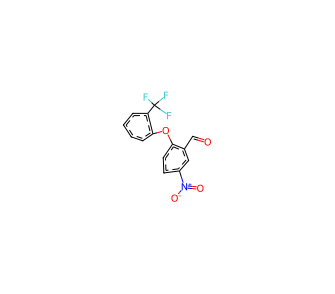 O=Cc1cc([N+](=O)[O-])ccc1Oc1ccccc1C(F)(F)F